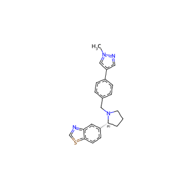 Cn1cc(-c2ccc(CN3CCC[C@@H]3c3ccc4scnc4c3)cc2)cn1